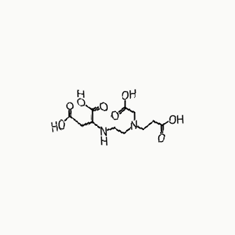 O=C(O)CCN(CCNC(CC(=O)O)C(=O)O)CC(=O)O